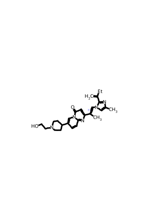 C=C(CC)c1nc(C)cn1/C=C(\C)c1cc(=O)n2cc(C3CCN(CCO)CC3)ccc2n1